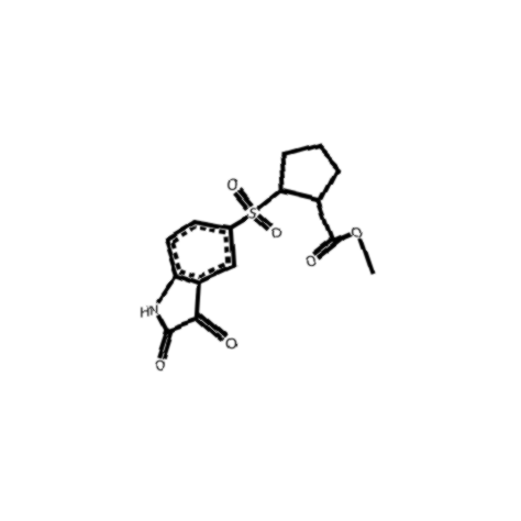 COC(=O)C1CCCC1S(=O)(=O)c1ccc2c(c1)C(=O)C(=O)N2